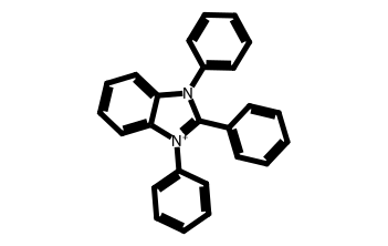 c1ccc(-c2n(-c3ccccc3)c3ccccc3[n+]2-c2ccccc2)cc1